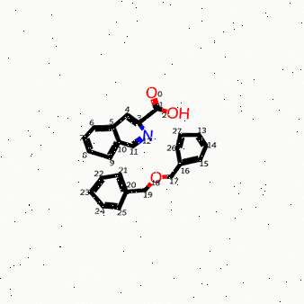 O=C(O)c1cc2ccccc2cn1.c1ccc(COCc2ccccc2)cc1